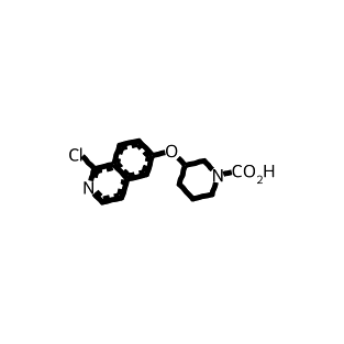 O=C(O)N1CCCC(Oc2ccc3c(Cl)nccc3c2)C1